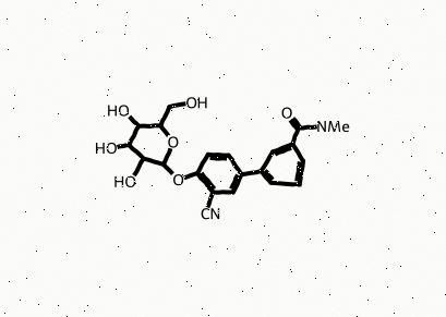 CNC(=O)c1cccc(-c2ccc(OC3OC(CO)C(O)C(O)C3O)c(C#N)c2)c1